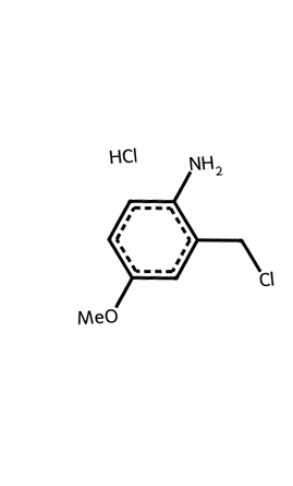 COc1ccc(N)c(CCl)c1.Cl